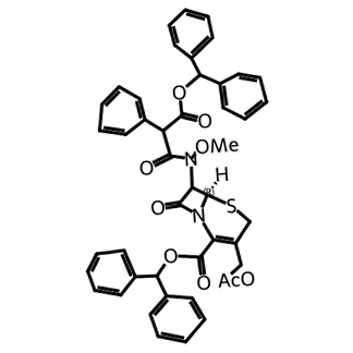 CON(C(=O)C(C(=O)OC(c1ccccc1)c1ccccc1)c1ccccc1)C1C(=O)N2C(C(=O)OC(c3ccccc3)c3ccccc3)=C(COC(C)=O)CS[C@H]12